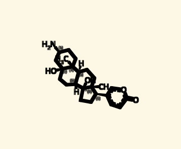 C[C@]12CC[C@H](N)C[C@@]1(O)CC[C@@H]1[C@@H]2CC[C@]2(C)[C@@H](c3ccc(=O)oc3)CC[C@]12O